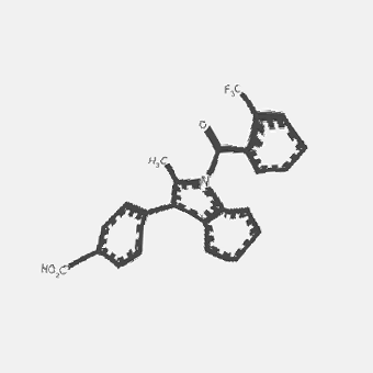 Cc1c(-c2ccc(C(=O)O)cc2)c2ccccc2n1C(=O)c1ccccc1C(F)(F)F